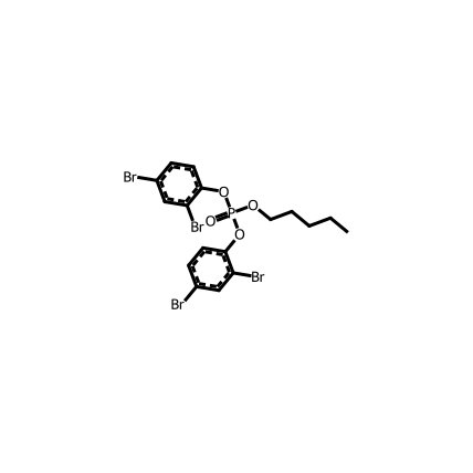 CCCCCOP(=O)(Oc1ccc(Br)cc1Br)Oc1ccc(Br)cc1Br